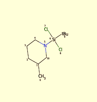 CC1CCCN([Si](Cl)(Cl)C(C)(C)C)C1